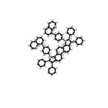 c1ccc(-c2c(-c3ccccc3)n(-c3ccc(-c4cccc5cccnc45)cc3)c3c2ccc2c4ccc5c(-c6ccccc6)c(-c6ccccc6)n(-c6ccc(-c7cccc8cccnc78)cc6)c5c4ccc23)cc1